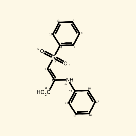 O=C(O)C(=CS(=O)(=O)c1ccccc1)Nc1ccccc1